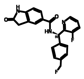 O=C1Cc2cc(C(=O)N[C@@H](c3ccc(CF)cc3)c3ncccc3F)ccc2N1